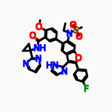 CCN(c1cc2oc(-c3ccc(F)cc3)c(-c3ncc[nH]3)c2cc1-c1ccc(OC)c(C(=O)NC2(c3ncccn3)CC2)c1)S(C)(=O)=O